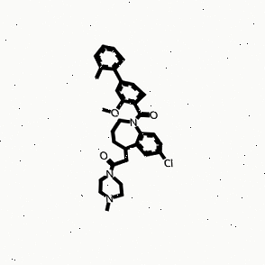 COc1cc(-c2ccccc2C)ccc1C(=O)N1CCCC(CC(=O)N2CCN(C)CC2)c2cc(Cl)ccc21